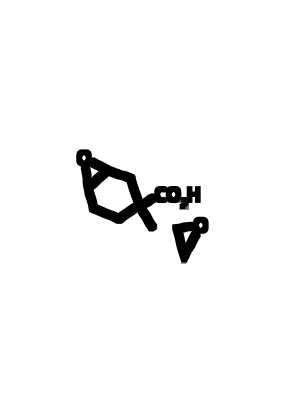 C1CO1.CC1(C(=O)O)CCC2OC2C1